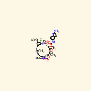 COc1cc2cc(c1Cl)N(C)C(=O)C[C@H](OC(=O)Nc1ccc3nc(N)ccc3c1)[C@]1(C)O[C@H]1[C@H](C)[C@@H]1C[C@@](O)(NC(=O)O1)[C@H](OC)/C=C/C=C(\C)C2